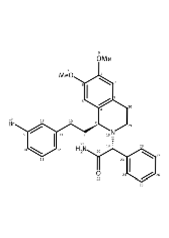 COc1cc2c(cc1OC)[C@H](CCc1cccc(Br)c1)N([C@@H](C(N)=O)c1ccccc1)CC2